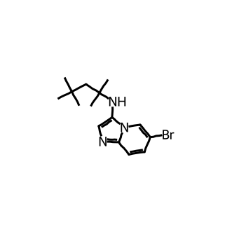 CC(C)(C)CC(C)(C)Nc1cnc2ccc(Br)cn12